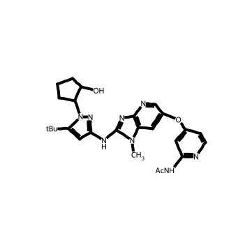 CC(=O)Nc1cc(Oc2cnc3nc(Nc4cc(C(C)(C)C)n(C5CCCC5O)n4)n(C)c3c2)ccn1